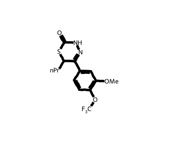 CCCC1SC(=O)NN=C1c1ccc(OC(F)(F)F)c(OC)c1